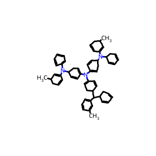 Cc1cccc(C(C2C=CC=CC2)C2C=CC(N(C3=CCC(N(C4=CC(C)CC=C4)c4ccccc4)C=C3)C3=CCC(N(C4=CC(C)CC=C4)C4C=CC=CC4)C=C3)=CC2)c1